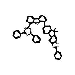 CC1(C)c2cc(-c3cccc4c3sc3c(-c5nc(-c6ccccc6)nc(-c6ccccc6)n5)cccc34)ccc2-c2cc3nc(-c4ccccc4)oc3cc21